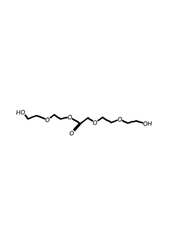 O=C(COCCOCCO)OCCOCCO